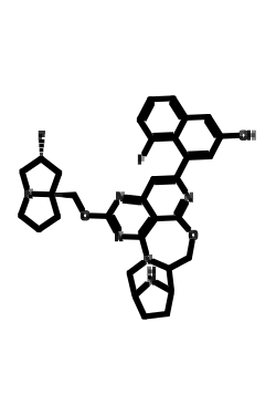 Oc1cc(-c2cc3nc(OC[C@@]45CCCN4C[C@H](F)C5)nc4c3c(n2)OCC2C3CCC(CN42)N3)c2c(F)cccc2c1